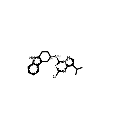 CC(C)c1cnn2c(N[C@@H]3CCc4[nH]c5ccccc5c4C3)nc(Cl)nc12